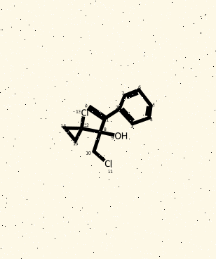 C=C(c1ccccc1)C(O)(CCl)C1(Cl)CC1